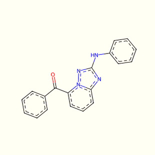 O=C(c1ccccc1)c1cccc2nc(Nc3ccccc3)nn12